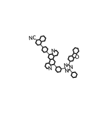 N#Cc1ccc(-c2ccc(-c3cc4c5cccnc5c(-c5cccc(-c6nc(-c7ccccc7)nc(-c7ccc8c(c7)oc7ccccc78)n6)c5)cc4c4cccnc34)cc2)c2ccccc12